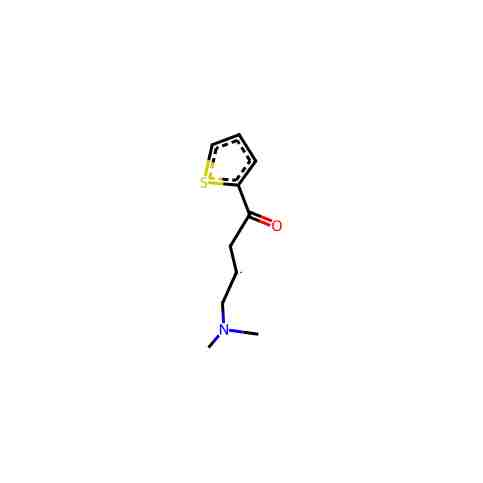 CN(C)C[CH]CC(=O)c1cccs1